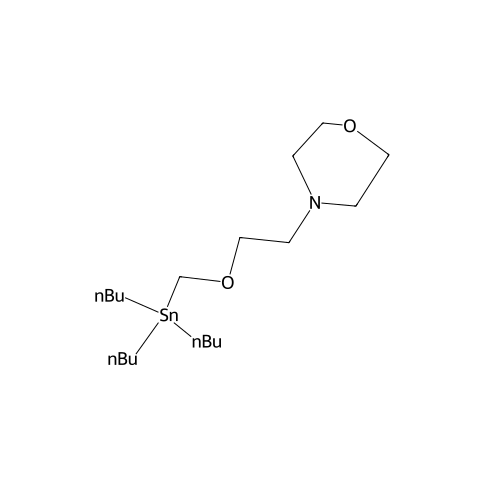 CCC[CH2][Sn]([CH2]CCC)([CH2]CCC)[CH2]OCCN1CCOCC1